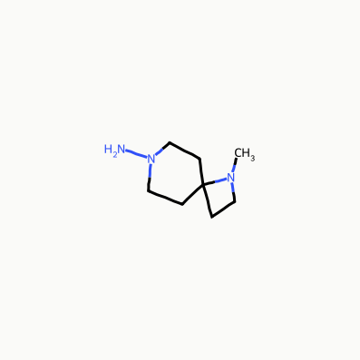 CN1CCC12CCN(N)CC2